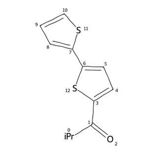 CC(C)C(=O)c1ccc(-c2cccs2)s1